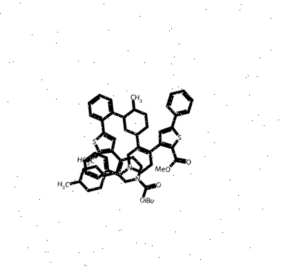 COC(=O)c1sc(-c2ccccc2)cc1C1=C(C2CCC(C)C(c3ccccc3-c3cc(C4=C(C5CCC(C)CC5)CN(C(=O)OCC(C)C)CC4)c(C(=O)O)s3)C2)CN(Cc2ccccc2)CC1